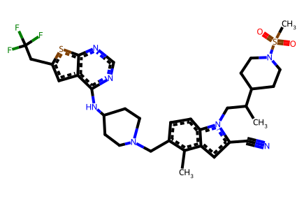 Cc1c(CN2CCC(Nc3ncnc4sc(CC(F)(F)F)cc34)CC2)ccc2c1cc(C#N)n2CC(C)C1CCN(S(C)(=O)=O)CC1